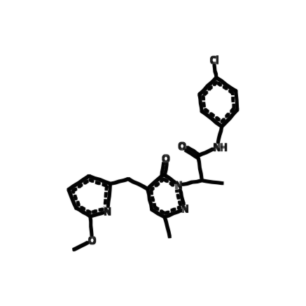 COc1cccc(Cc2cc(C)nn(C(C)C(=O)Nc3ccc(Cl)cc3)c2=O)n1